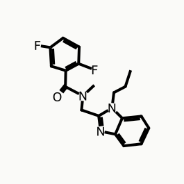 CCCn1c(CN(C)C(=O)c2cc(F)ccc2F)nc2ccccc21